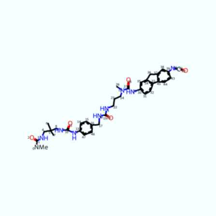 CNC(=O)NCC(C)(C)CNC(=O)Nc1ccc(CNC(=O)NCCCN(C)C(=O)Nc2ccc3c(c2)Cc2cc(N=C=O)ccc2-3)cc1